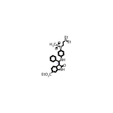 CCOC(=O)c1ccc2c(c1)NC(=O)/C2=C(\Nc1ccc(N(CCN(CC)CC)S(C)(=O)=O)cc1)c1ccccc1